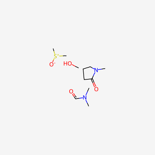 CN(C)C=O.CN1CCCC1=O.CO.C[S+](C)[O-]